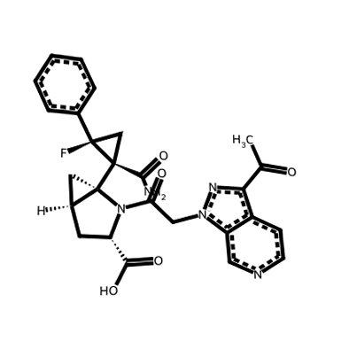 CC(=O)c1nn(CC(=O)N2[C@H](C(=O)O)C[C@H]3C[C@@]32[C@@]2(C(N)=O)C[C@@]2(F)c2ccccc2)c2cnccc12